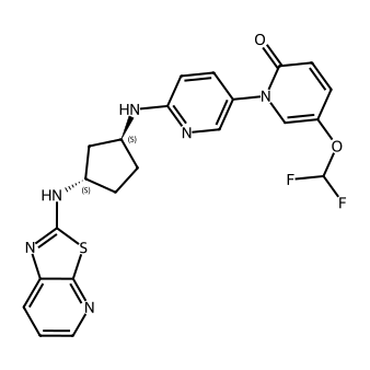 O=c1ccc(OC(F)F)cn1-c1ccc(N[C@H]2CC[C@H](Nc3nc4cccnc4s3)C2)nc1